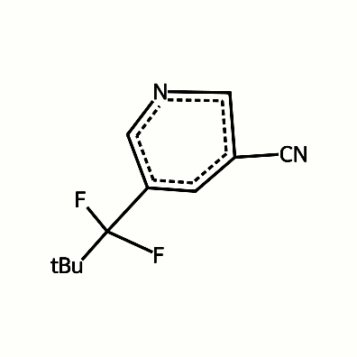 CC(C)(C)C(F)(F)c1cncc(C#N)c1